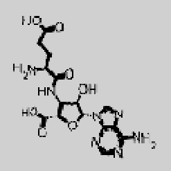 Nc1ncnc2c1ncn2[C@@H]1O[C@H](C(=O)O)[C@@H](NC(=O)[C@@H](N)CCC(=O)O)[C@H]1O